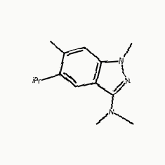 Cc1cc2c(cc1C(C)C)c(N(C)C)nn2C